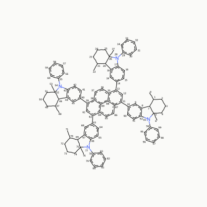 CC1CCCC2(C)C1c1cc(-c3cc(-c4ccc5c(c4)C4C(C)CCCC4(C)N5c4ccccc4)c4ccc5c(-c6ccc7c(c6)C6C(C)CCCC6(C)N7c6ccccc6)cc(-c6ccc7c(c6)C6C(C)CCCC6(C)N7c6ccccc6)c6ccc3c4c65)ccc1N2c1ccccc1